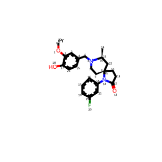 CC(C)Oc1cc(CN2CC[C@]3(CCC(=O)N3c3cccc(F)c3)C[C@@H]2C)ccc1O